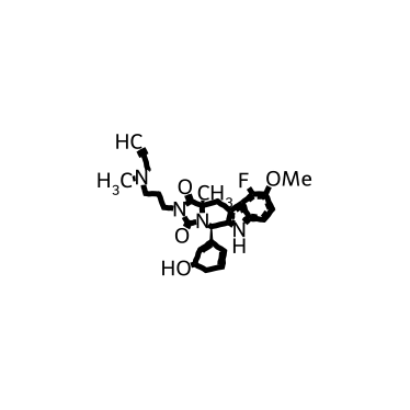 C#CCN(C)CCCN1C(=O)N2[C@H](C3=CC(O)CC=C3)c3[nH]c4ccc(OC)c(F)c4c3C[C@@]2(C)C1=O